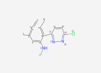 C=C=C(C)/C=C(NC)\C(=C\C)c1ccc(Cl)nn1